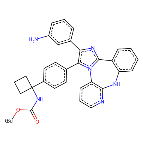 CC(C)(C)OC(=O)NC1(c2ccc(-c3c(-c4cccc(N)c4)nc4n3-c3cccnc3Nc3ccccc3-4)cc2)CCC1